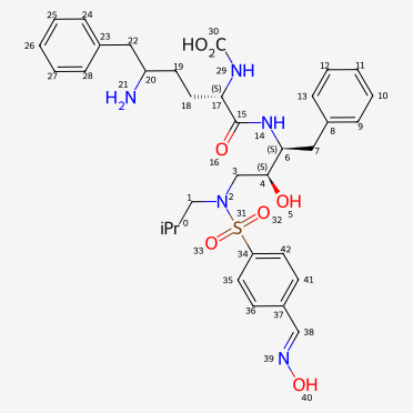 CC(C)CN(C[C@H](O)[C@H](Cc1ccccc1)NC(=O)[C@H](CCC(N)Cc1ccccc1)NC(=O)O)S(=O)(=O)c1ccc(C=NO)cc1